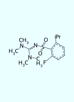 CC(C)c1cccc(F)c1S(=O)(=O)N=C(N(C)C)N(C)C